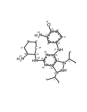 CC(C)N1NN(C(C)C)c2c(Nc3ccc(Cl)c(N)c3)nc(NC3CCCCC3N)nc21